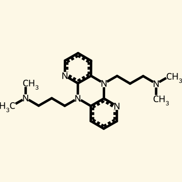 CN(C)CCCN1c2cccnc2N(CCCN(C)C)c2cccnc21